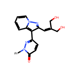 CC(C)n1nc(-c2c(C=C(CO)CO)nn3ccccc23)ccc1=O